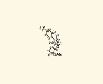 COc1c(F)ccc(C(Nc2cccc3nc(C)ccc23)C2(C(F)(F)F)CO2)c1F